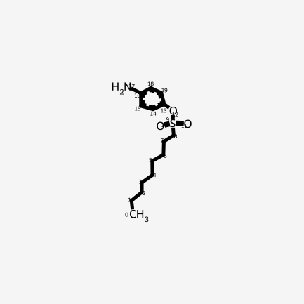 CCCCCCCCCS(=O)(=O)Oc1ccc(N)cc1